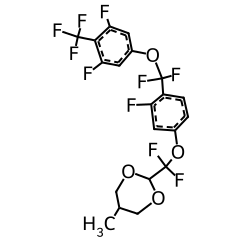 CC1COC(C(F)(F)Oc2ccc(C(F)(F)Oc3cc(F)c(C(F)(F)F)c(F)c3)c(F)c2)OC1